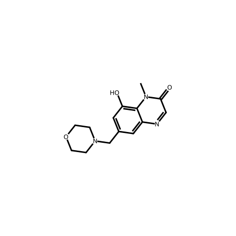 Cn1c(=O)cnc2cc(CN3CCOCC3)cc(O)c21